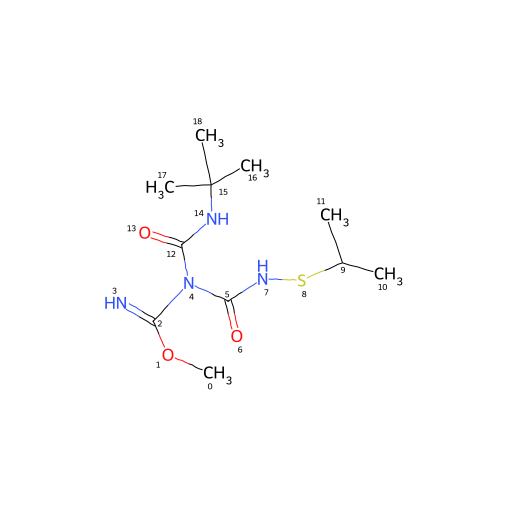 COC(=N)N(C(=O)NSC(C)C)C(=O)NC(C)(C)C